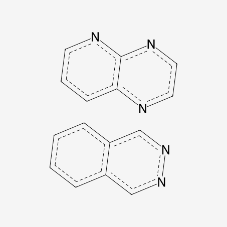 c1ccc2cnncc2c1.c1cnc2nccnc2c1